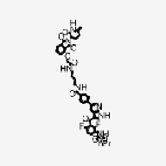 C=C1CCC(N2C(=O)c3cccc(OCC(=O)NCCCCNC(=O)c4ccc(-c5cnc6[nH]cc(C(=O)c7c(F)ccc(NS(=O)(=O)CCC)c7F)c6c5)cc4)c3C2=O)C(=O)N1